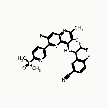 Cc1nc2cc(F)c(-c3ccc(P(C)(C)=O)nc3)nc2c(NC(c2cc(C#N)ccc2F)C(F)F)c1Cl